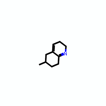 CC1CCC2=NCCC=C2C1